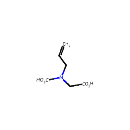 C=CCN(CC(=O)O)C(=O)O